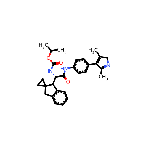 CC1=NCC(C)=C1c1ccc(NC(=O)[C@@H](NC(=O)OC(C)C)C2c3ccccc3CC23CC3)cc1